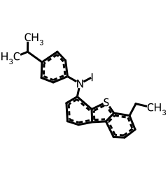 CCc1cccc2c1sc1c(N(I)c3ccc(C(C)C)cc3)cccc12